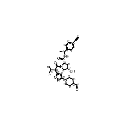 C#Cc1ccc([C@H](C)NC(=O)[C@@H]2C[C@@H](O)CN2C(=O)C(c2cc(N3CCC(C=O)CC3)no2)C(C)C)cc1